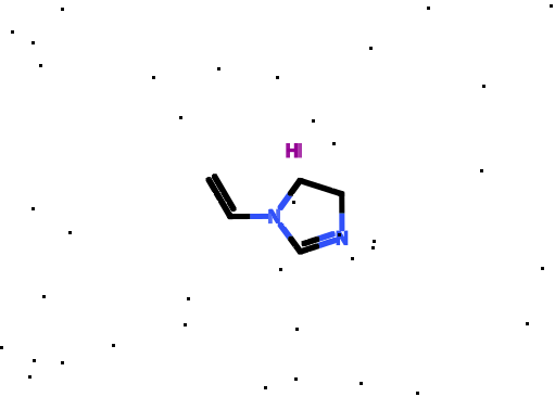 C=CN1C=NCC1.I